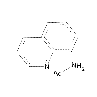 CC(N)=O.c1ccc2ncccc2c1